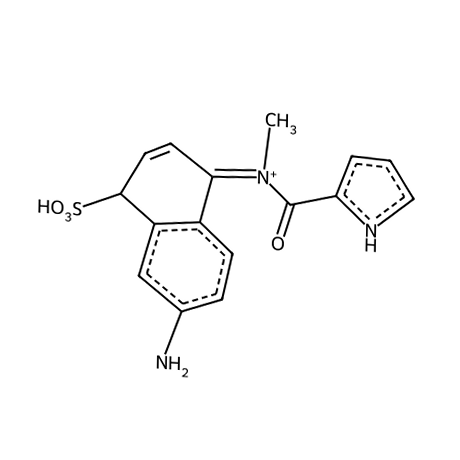 C[N+](C(=O)c1ccc[nH]1)=C1C=CC(S(=O)(=O)O)c2cc(N)ccc21